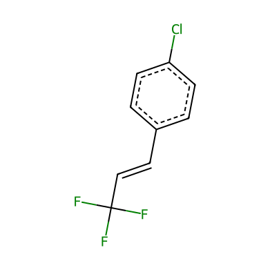 FC(F)(F)C=Cc1ccc(Cl)cc1